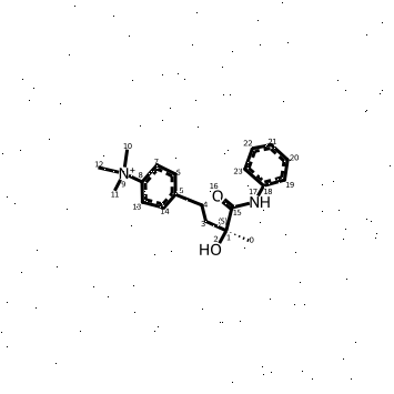 C[C@](O)(CCc1ccc([N+](C)(C)C)cc1)C(=O)Nc1ccccc1